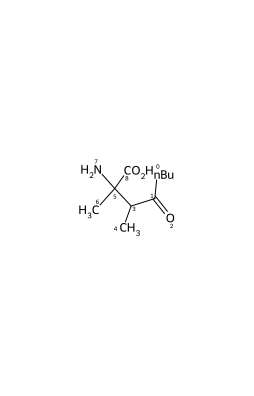 CCCCC(=O)C(C)C(C)(N)C(=O)O